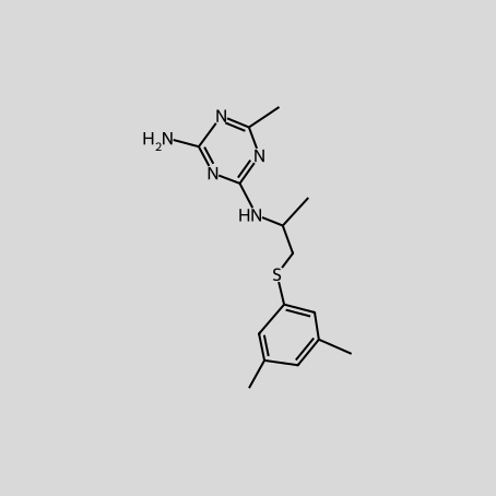 Cc1cc(C)cc(SCC(C)Nc2nc(C)nc(N)n2)c1